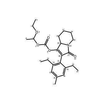 CCOC(C)OC(=O)OC1=C(c2c(CC)cc(C)cc2CC)C(=O)N2CCCCC12